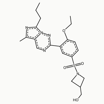 CCCc1nc(C)c2cnc(-c3cc(S(=O)(=O)N4CC(CO)C4)ccc3OCC)nn12